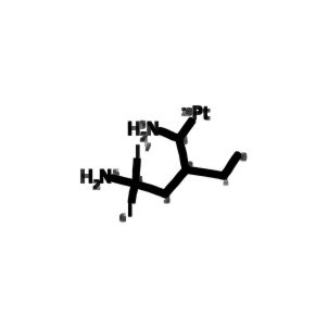 CCC(CC(N)(I)I)[CH](N)[Pt]